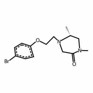 C[C@@H]1CN(C)C(=O)CN1CCOc1ccc(Br)cc1